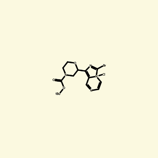 CC(C)(C)OC(=O)N1CCOC(C2=C3C=NC=C[N+]3(Cl)C(Br)=N2)C1